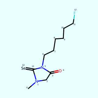 CN1CC(=O)N(CCCCCCF)C1=[Se]